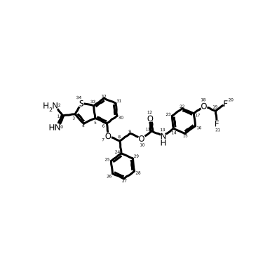 N=C(N)c1cc2c(OC(COC(=O)Nc3ccc(OC(F)F)cc3)c3ccccc3)cccc2s1